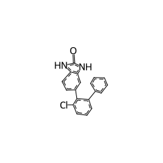 O=c1[nH]c2ccc(-c3c(Cl)cccc3-c3ccccc3)cc2[nH]1